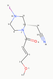 COC/C=C/C(=O)N1CCN(I)C[C@@H]1CC#N